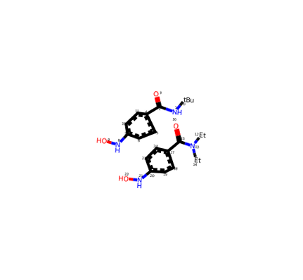 CC(C)(C)NC(=O)c1ccc(NO)cc1.CCN(CC)C(=O)c1ccc(NO)cc1